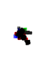 COc1cc2c(C3=C(c4coc5cc(OCC6CCC6)ccc45)C(=O)NC3=O)cn(C)c2cc1Cl